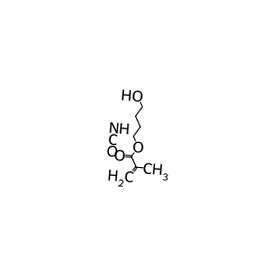 C=C(C)C(=O)OCCCCO.N=C=O